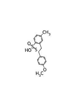 COc1ccc(CCc2cc(C)ccc2S(=O)(O)=S)cc1